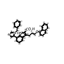 O=C(O)c1[nH]c2c(-c3cncn3Cc3ccccc3)cccc2c1CCCOc1cccc2ccccc12